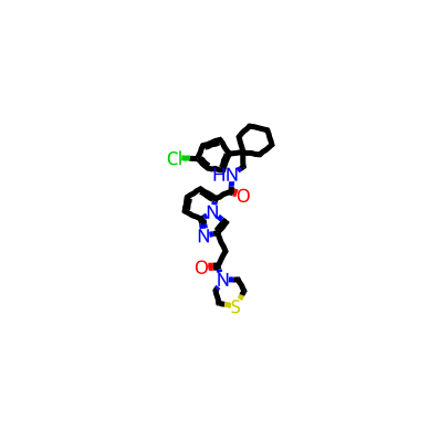 O=C(NCC1(c2ccc(Cl)cc2)CCCCC1)c1cccc2nc(CC(=O)N3CCSCC3)cn12